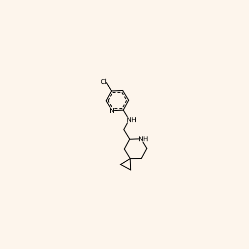 Clc1ccc(NCC2CC3(CCN2)CC3)nc1